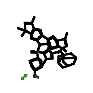 [CH2]=[Zr+2]([C]1=C(C)C(CC23CC4CC(CC(C4)C2)C3)=CC1C)([c]1ccc(C(F)(F)F)cc1)[CH]1c2cc3c(cc2-c2cc4c(cc21)C(C)(C)C=C4C)C(C)=CC3(C)C.[Cl-].[Cl-]